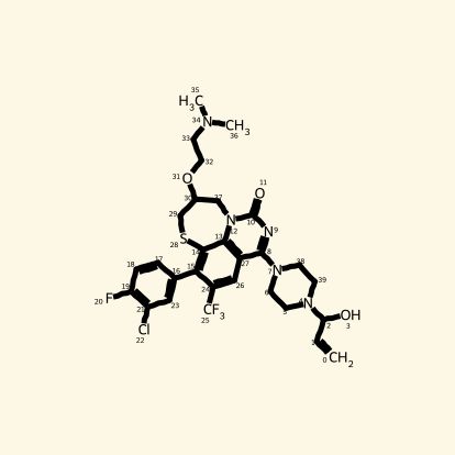 C=CC(O)N1CCN(c2nc(=O)n3c4c(c(-c5ccc(F)c(Cl)c5)c(C(F)(F)F)cc24)SCC(OCCN(C)C)C3)CC1